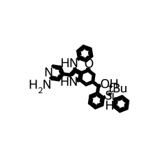 CC(C)(C)[SiH](c1ccccc1)c1ccccc1C(O)C1CC(=O)c2c([nH]c(-c3ccnc(N)c3)c2Nc2ccccc2)C1